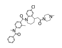 Cc1cc(N(C)C(=O)c2ccccc2)ccc1C(=O)N1CCCC(CC(=O)N2CCN(C)CC2)c2cc(Cl)ccc21